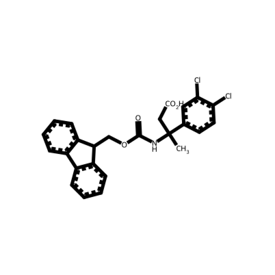 CC(CC(=O)O)(NC(=O)OCC1c2ccccc2-c2ccccc21)c1ccc(Cl)c(Cl)c1